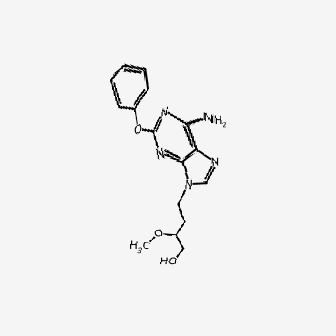 COC(CO)CCn1cnc2c(N)nc(Oc3ccccc3)nc21